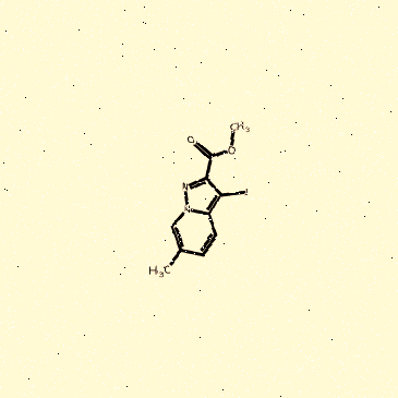 COC(=O)c1nn2cc(C)ccc2c1I